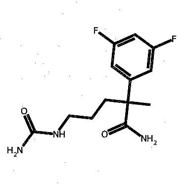 CC(CCCNC(N)=O)(C(N)=O)c1cc(F)cc(F)c1